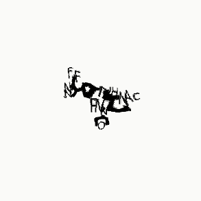 CC(=O)N1CCc2c(c(Nc3ccc(C4CN(C)N=C4C(F)F)cc3F)nn2C2CCOCC2)C1